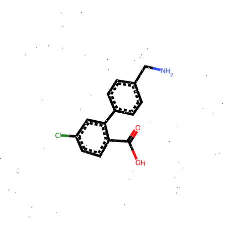 NCc1ccc(-c2cc(Cl)ccc2C(=O)O)cc1